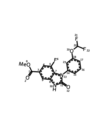 COC(=O)c1cc(F)c2c(c1)[nH]c(=O)n2-c1cccc(OC(F)F)c1